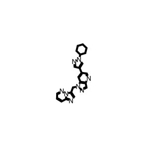 c1cnn2c(Cn3ncc4ncc(-c5cnn(C6CCCCC6)c5)cc43)cnc2c1